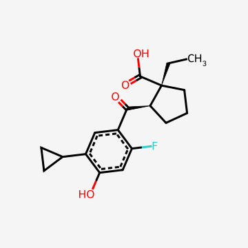 CC[C@@]1(C(=O)O)CCC[C@H]1C(=O)c1cc(C2CC2)c(O)cc1F